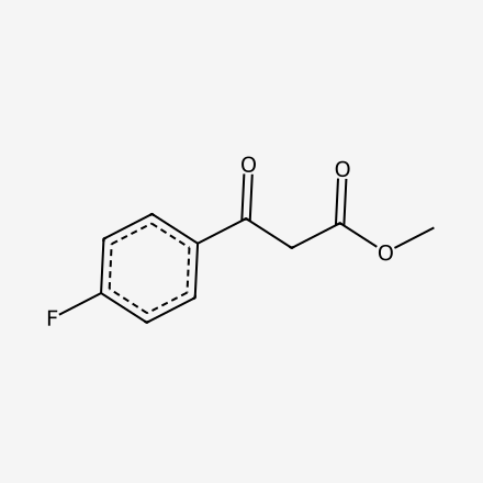 COC(=O)CC(=O)c1ccc(F)cc1